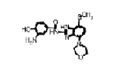 COc1ccc(N2CCOCC2)c2nc(NC(=O)c3ccc(O)c(N)c3)[nH]c12